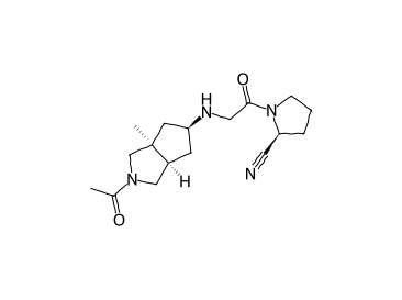 CC(=O)N1C[C@@H]2C[C@H](NCC(=O)N3CCC[C@H]3C#N)C[C@]2(C)C1